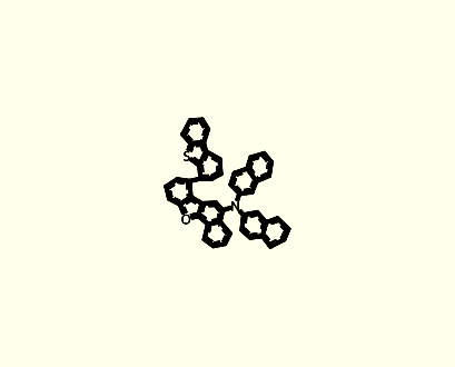 c1ccc2cc(N(c3ccc4ccccc4c3)c3cc4c(oc5cccc(-c6cccc7c6sc6ccccc67)c54)c4ccccc34)ccc2c1